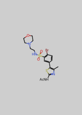 CC(=O)Nc1nc(C)c(-c2ccc(Br)c(S(=O)(=O)NCCN3CCOCC3)c2)s1